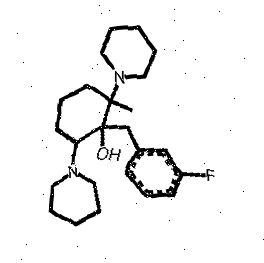 CC1(N2CCCCC2)CCCC(N2CCCCC2)C1(O)Cc1cccc(F)c1